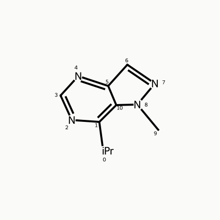 CC(C)c1ncnc2cnn(C)c12